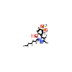 CCCCCCCn1nc(C)c(C)c1-c1cc(S(C)(=O)=O)ccc1O